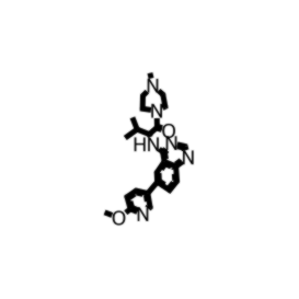 COc1ccc(-c2ccc3ncnc(NC(C(=O)N4CCN(C)CC4)C(C)C)c3c2)cn1